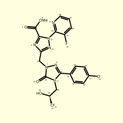 COC(=O)c1nc(Cn2nc(-c3ccc(Cl)cc3)n(C[C@H](O)C(F)(F)F)c2=O)nn1-c1ncccc1F